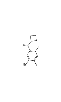 O=C(c1cc(Br)c(F)cc1F)C1CCC1